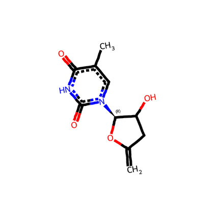 C=C1CC(O)[C@H](n2cc(C)c(=O)[nH]c2=O)O1